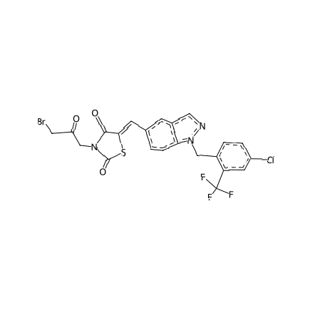 O=C(CBr)CN1C(=O)S/C(=C\c2ccc3c(cnn3Cc3ccc(Cl)cc3C(F)(F)F)c2)C1=O